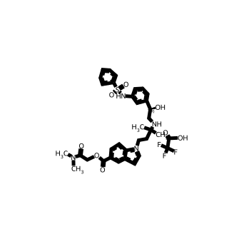 CN(C)C(=O)COC(=O)c1ccc2c(ccn2CCC(C)(C)NC[C@H](O)c2cccc(NS(=O)(=O)c3ccccc3)c2)c1.O=C(O)C(F)(F)F